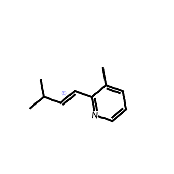 Cc1cccnc1/C=C/C(C)C